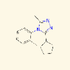 Cc1ccccc1-n1c(C)nnc1C1CCCC1